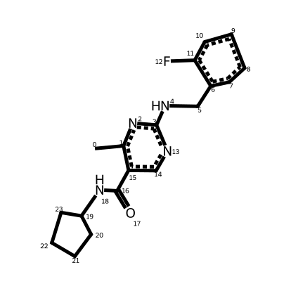 Cc1nc(NCc2ccccc2F)ncc1C(=O)NC1CCCC1